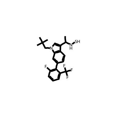 CC(NS)c1cn(CC(C)(C)C)c2cc(-c3c(F)cccc3C(F)(F)F)ccc12